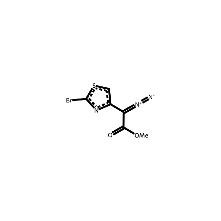 COC(=O)C(=[N+]=[N-])c1csc(Br)n1